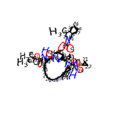 CC1CN(C(=O)O[C@@H]2C[C@H]3C(=O)N[C@]4(C(=O)NS(=O)(=O)C5CC5)C[C@H]4/C=C\CCCCC[C@H](NC(=O)OC(C)(C)C)C(=O)N3C2)Cc2ccccc21